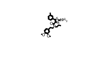 CCCN(CCc1ccc(OC)c(OC)c1)C(=O)c1nc(N)sc1-c1cccc(C)c1